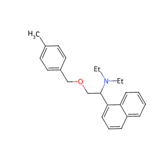 CCN(CC)C(COCc1ccc(C)cc1)c1cccc2ccccc12